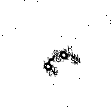 O=S(=O)(CC=Cc1cccc(C(F)(F)F)c1)c1ccc(Nc2nncs2)cc1